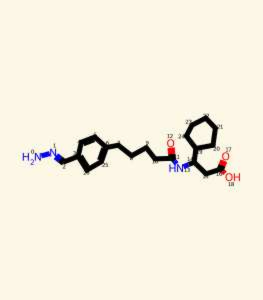 NN=Cc1ccc(CCCCC(=O)NC(CC(=O)O)C2CCCCC2)cc1